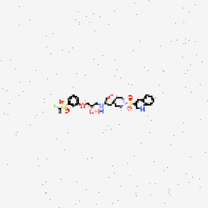 CC(F)S(=O)(=O)c1cccc(OCC(O)CN[C@H]2COC3(CCN(S(=O)(=O)c4cnc5ccccc5c4)CC3)C2)c1